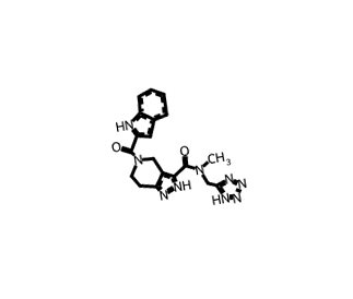 CN(Cc1nnn[nH]1)C(=O)c1[nH]nc2c1CN(C(=O)c1cc3ccccc3[nH]1)CC2